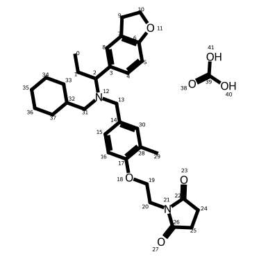 CCC(c1ccc2c(c1)CCO2)N(Cc1ccc(OCCN2C(=O)CCC2=O)c(C)c1)CC1CCCCC1.O=C(O)O